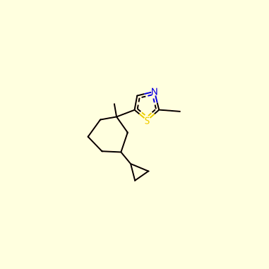 Cc1ncc(C2(C)CCCC(C3CC3)C2)s1